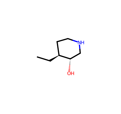 CC[C@H]1CCNC[C@@H]1O